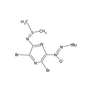 CS(C)=Nc1nc(/[N+]([O-])=N/C(C)(C)C)c(Br)nc1Br